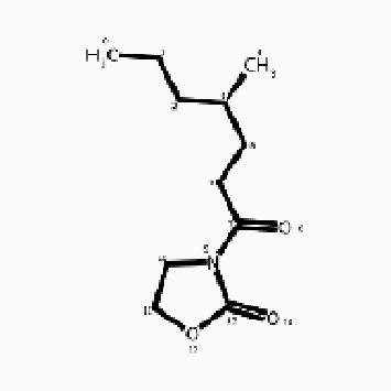 CCC[C@@H](C)CCC(=O)N1CCOC1=O